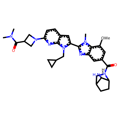 COc1cc(C(=O)N2CC3CCC2[C@@H]3N)cc2nc(-c3cc4ccc(N5CC(C(=O)N(C)C)C5)nc4n3CC3CC3)n(C)c12